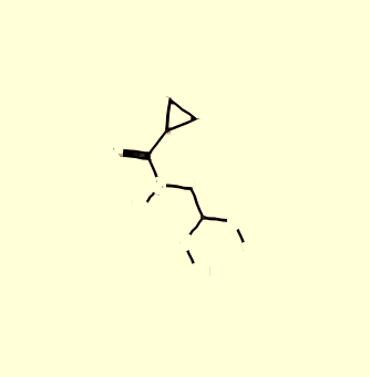 COC(CN(C)C(=N)C1CC1)OC